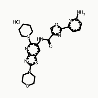 Cl.Nc1cccc(-c2nc(C(=O)Nc3cc4sc(N5CCOCC5)nc4nc3N3CCCCC3)co2)n1